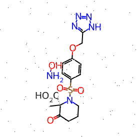 C[C@]1(C(=O)O)C(=O)CCCN1S(=O)(=O)c1ccc(OCc2nnn[nH]2)cc1.NO